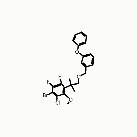 COc1c(Cl)c(Br)c(F)c(F)c1C(C)(C)COCc1cccc(Oc2ccccc2)c1